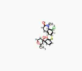 C[C@H]1C[C@@](O)(c2cccc(Sc3cc(Cl)c4c(c3)CCC(=O)N4C)c2)CCO1